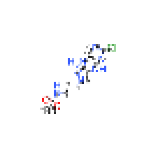 CC(C)(C)OC(=O)NCCCn1cc(Nc2nc(Cl)ncc2N)cn1